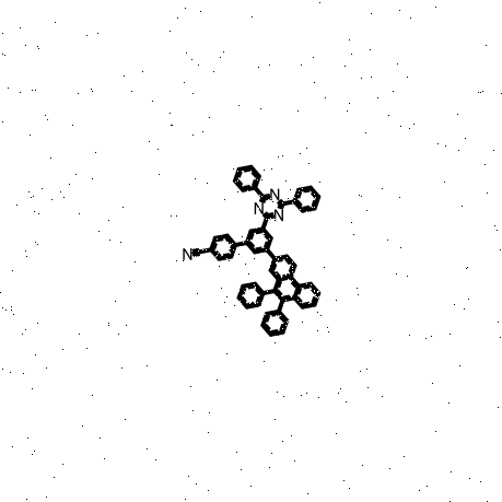 N#Cc1ccc(-c2cc(-c3ccc4c(c3)c(-c3ccccc3)c(-c3ccccc3)c3ccccc34)cc(-c3nc(-c4ccccc4)nc(-c4ccccc4)n3)c2)cc1